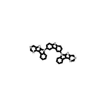 c1ccc2c(c1)c1c3ncncc3oc1n2-c1ccc2sc3ccc(-n4c5ccccc5c5c6ncncc6oc54)cc3c2c1